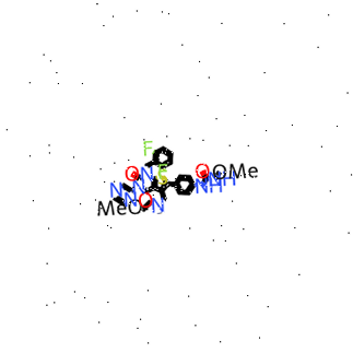 COCCN(C)Cc1c(-c2ccc(NC(=O)NOC)cc2)sc2c1c(=O)n(-c1cnccn1)c(=O)n2Cc1c(F)cccc1F